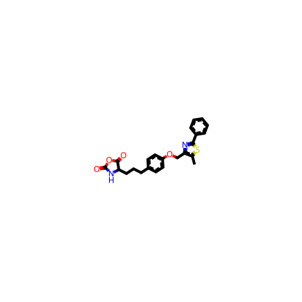 Cc1sc(-c2ccccc2)nc1COc1ccc(CCCC2NC(=O)OC2=O)cc1